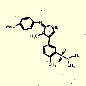 Br.COc1ccc(N=c2scc(-c3ccc(C)c(S(=O)(=O)N(C)C)c3)n2C)cc1